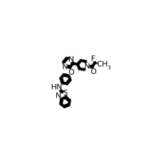 C[C@H](F)C(=O)N1CCC(c2nccnc2Oc2ccc(Nc3nc4ccccc4s3)cc2)CC1